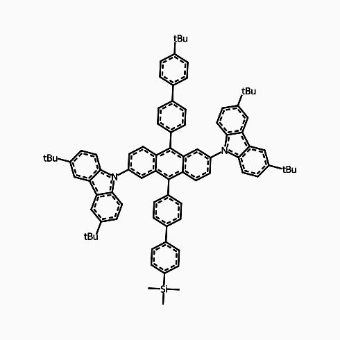 CC(C)(C)c1ccc(-c2ccc(-c3c4ccc(-n5c6ccc(C(C)(C)C)cc6c6cc(C(C)(C)C)ccc65)cc4c(-c4ccc(-c5ccc([Si](C)(C)C)cc5)cc4)c4ccc(-n5c6ccc(C(C)(C)C)cc6c6cc(C(C)(C)C)ccc65)cc34)cc2)cc1